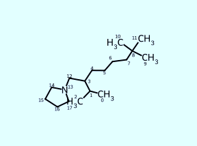 CC(C)C(CCCCC(C)(C)C)CN1CCCC1